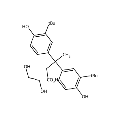 CC(C)(C)c1cc(C(C)(CC(=O)O)c2ccc(O)c(C(C)(C)C)c2)ccc1O.OCCO